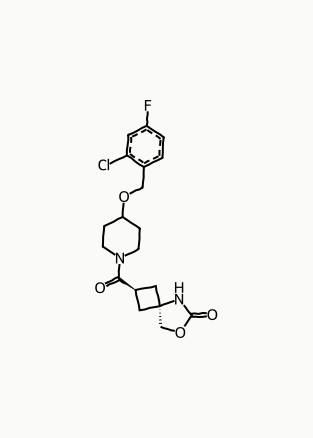 O=C1N[C@]2(CO1)C[C@H](C(=O)N1CCC(OCc3ccc(F)cc3Cl)CC1)C2